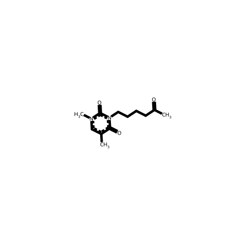 CC(=O)CCCCn1c(=O)c(C)cn(C)c1=O